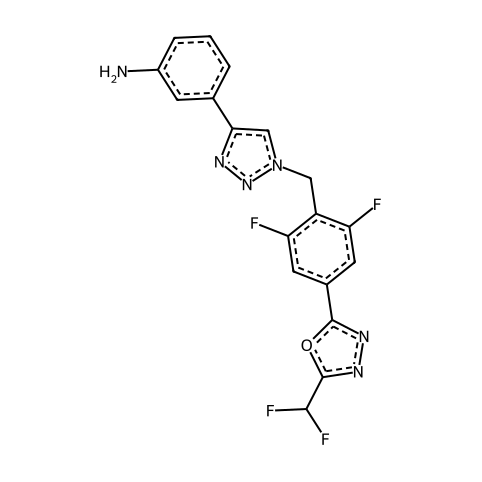 Nc1cccc(-c2cn(Cc3c(F)cc(-c4nnc(C(F)F)o4)cc3F)nn2)c1